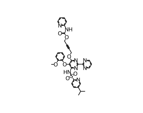 COc1ccccc1Oc1c(NS(=O)(=O)c2ccc(C(C)C)cn2)nc(-c2ncccn2)nc1OCC#CCOC(=O)Nc1ccccn1